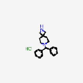 Cl.c1ccc(C(c2ccccc2)N2CCC3(CC2)CNC3)cc1